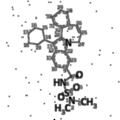 CN(C)S(=O)(=O)NC(=O)c1ccc2c(C3CCCCC3)c3n(c2c1)CC=Cc1ccccc1-3